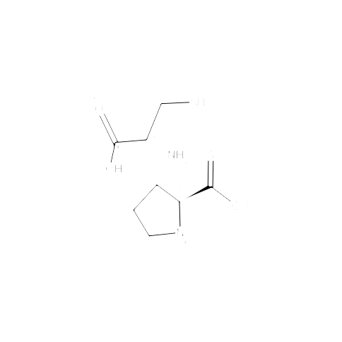 N[C@@H](CS)C(=O)O.OC(=S)[C@@H]1CCCN1